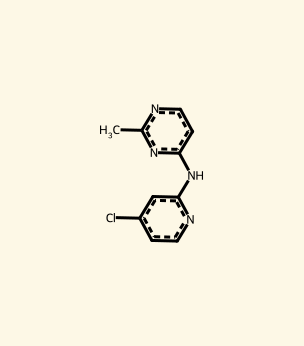 Cc1nccc(Nc2cc(Cl)ccn2)n1